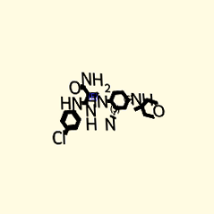 CC1(N[C@H]2CCC(N/C=C(\C(=N)Nc3ccc(Cl)cc3)C(N)=O)[C@@H](C#N)C2)CCOCC1